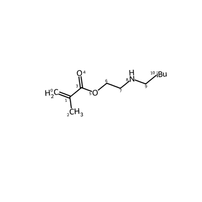 C=C(C)C(=O)OCCNCC(C)CC